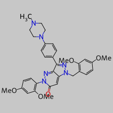 COc1ccc(Cn2nc(-c3ccc(N4CCN(C)CC4)cc3)c3nn(-c4ccc(OC)cc4OC)c(=O)cc32)c(OC)c1